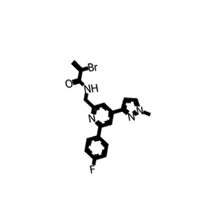 C=C(Br)C(=O)NCc1cc(-c2ccn(C)n2)cc(-c2ccc(F)cc2)n1